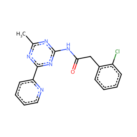 Cc1nc(NC(=O)Cc2ccccc2Cl)nc(-c2ccccn2)n1